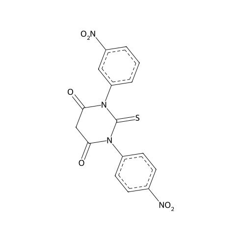 O=C1CC(=O)N(c2cccc([N+](=O)[O-])c2)C(=S)N1c1ccc([N+](=O)[O-])cc1